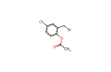 CC(=O)Oc1ccc(Cl)cc1CBr